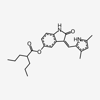 CCCC(CCC)C(=O)Oc1ccc2c(c1)/C(=C/c1[nH]c(C)cc1C)C(=O)N2